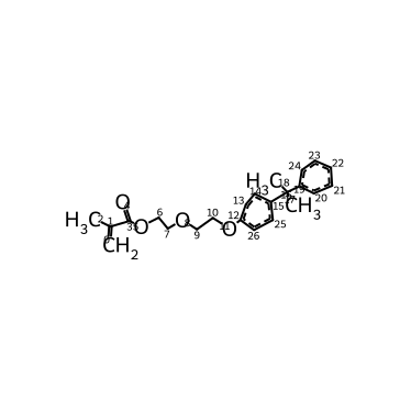 C=C(C)C(=O)OCCOCCOc1ccc(C(C)(C)c2ccccc2)cc1